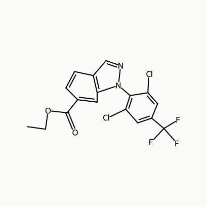 CCOC(=O)c1ccc2cnn(-c3c(Cl)cc(C(F)(F)F)cc3Cl)c2c1